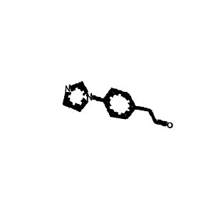 O=CCc1ccc(-n2ccnc2)cc1